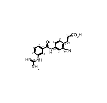 N#Cc1cc(NC(=O)c2cccc(NC(=N)N)c2)ccc1/C=C/C(=O)O